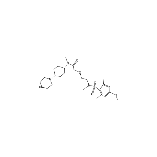 COc1cc(C)c(S(=O)(=O)N(C)CCOCC(=O)N(C)[C@H]2CC[C@@H](N3CCNCC3)CC2)c(C)c1